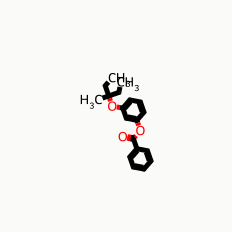 CCC(C)(CC)Oc1cccc(OC(=O)c2ccccc2)c1